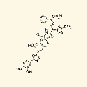 Nc1nc(C(=NOC(C(=O)O)c2ccccc2)C(=O)N[C@@H]2C(=O)N3C(C(=O)O)=C(CSc4nnc(-c5ccc(O)c(O)c5)o4)CS[C@@H]23)cs1